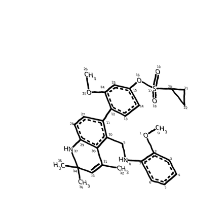 COc1ccccc1NCc1c(-c2ccc(OS(=O)(=O)C3CC3)cc2OC)ccc2c1C(C)=CC(C)(C)N2